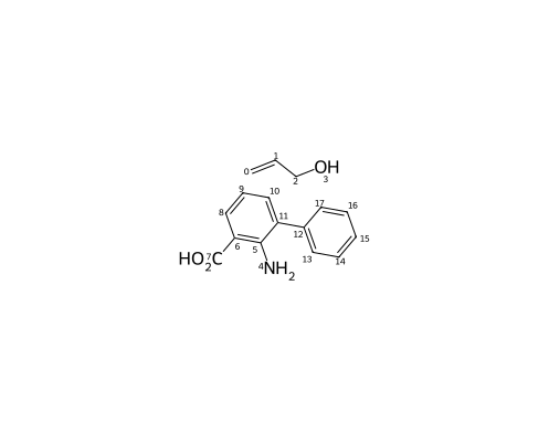 C=CCO.Nc1c(C(=O)O)cccc1-c1ccccc1